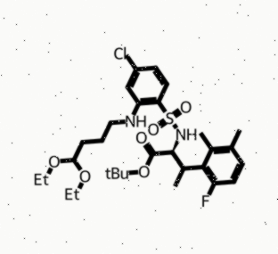 CCOC(CCCNc1cc(Cl)ccc1S(=O)(=O)N[C@H](C(=O)OC(C)(C)C)C(C)c1c(F)ccc(C)c1C)OCC